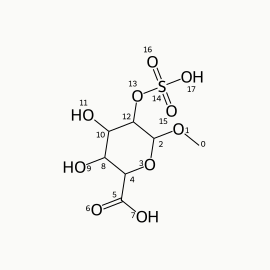 COC1OC(C(=O)O)C(O)C(O)C1OS(=O)(=O)O